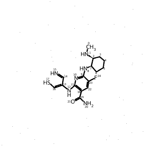 CN[C@H]1CCCC[C@H]1Nc1nc(N/C(C=N)=C/S)c(C(N)=O)cc1F